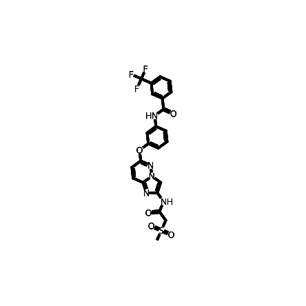 CS(=O)(=O)CC(=O)Nc1cn2nc(Oc3cccc(NC(=O)c4cccc(C(F)(F)F)c4)c3)ccc2n1